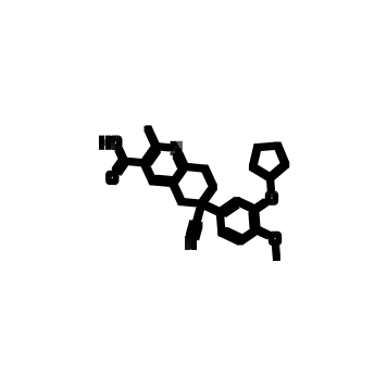 COc1ccc(C2(C#N)CCc3nc(C)c(C(=O)O)cc3C2)cc1OC1CCCC1